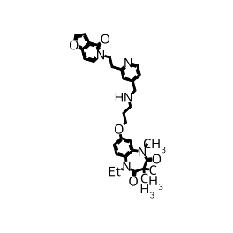 CCN1C(=O)C(C)(C)C(=O)N(C)c2cc(OCCCNCc3ccnc(CCn4ccc5occc5c4=O)c3)ccc21